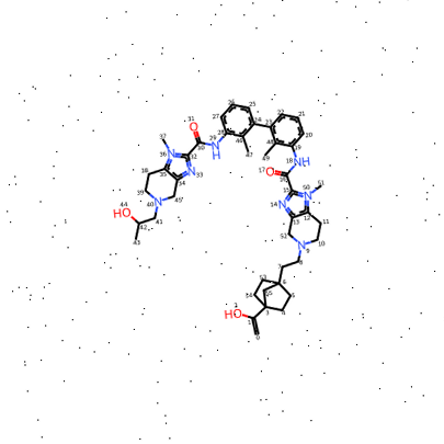 C=C(O)C12CCC(CCN3CCc4c(nc(C(=O)Nc5cccc(-c6cccc(NC(=O)c7nc8c(n7C)CCN(CC(C)O)C8)c6C)c5C)n4C)C3)(CC1)C2